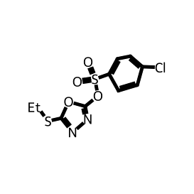 CCSc1nnc(OS(=O)(=O)c2ccc(Cl)cc2)o1